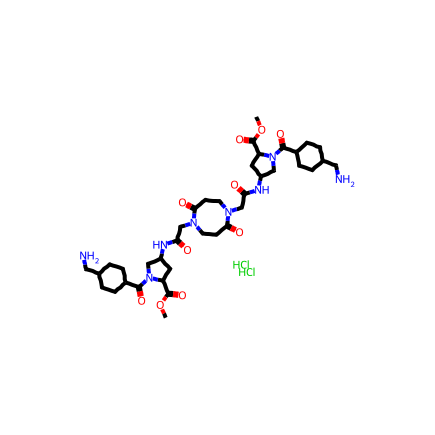 COC(=O)C1CC(NC(=O)CN2CCC(=O)N(CC(=O)NC3CC(C(=O)OC)N(C(=O)C4CCC(CN)CC4)C3)CCC2=O)CN1C(=O)C1CCC(CN)CC1.Cl.Cl